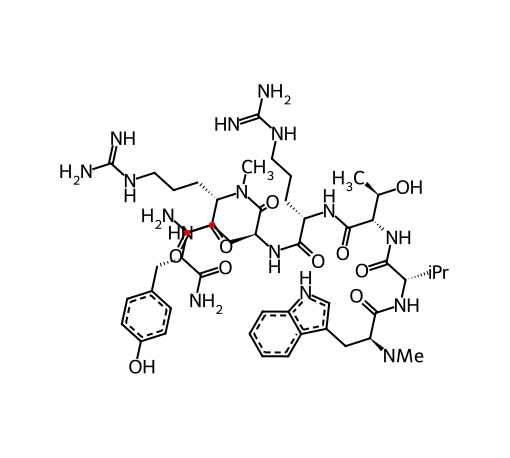 CN[C@@H](Cc1c[nH]c2ccccc12)C(=O)N[C@H](C(=O)N[C@H](C(=O)N[C@@H](CCCNC(=N)N)C(=O)N[C@@H](CCC(N)=O)C(=O)N(C)[C@@H](CCCNC(=N)N)C(=O)N[C@@H](Cc1ccc(O)cc1)C(N)=O)[C@@H](C)O)C(C)C